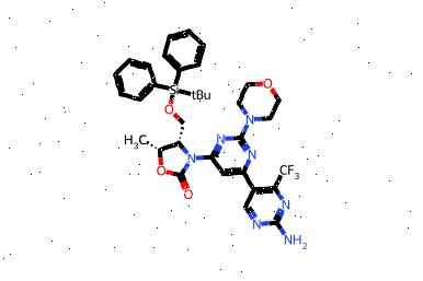 C[C@H]1OC(=O)N(c2cc(-c3cnc(N)nc3C(F)(F)F)nc(N3CCOCC3)n2)[C@H]1CO[Si](c1ccccc1)(c1ccccc1)C(C)(C)C